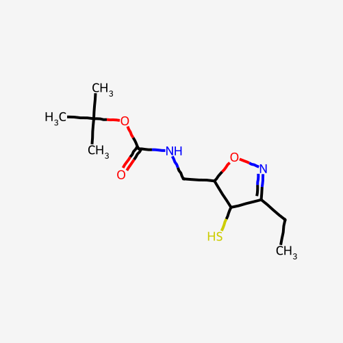 CCC1=NOC(CNC(=O)OC(C)(C)C)C1S